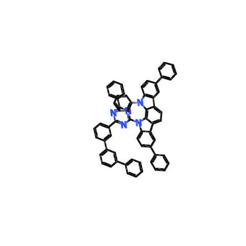 c1ccc(-c2cccc(-c3cccc(-c4nc(-c5ccccc5)nc(-n5c6ccc(-c7ccccc7)cc6c6ccc7c8cc(-c9ccccc9)ccc8n(-c8ccccc8)c7c65)n4)c3)c2)cc1